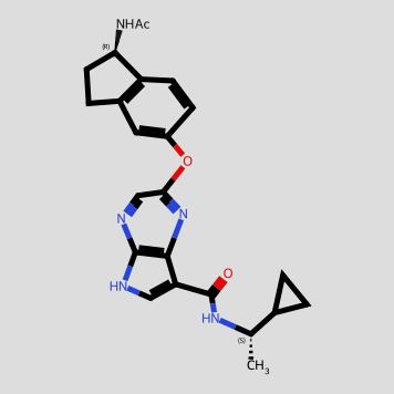 CC(=O)N[C@@H]1CCc2cc(Oc3cnc4[nH]cc(C(=O)N[C@@H](C)C5CC5)c4n3)ccc21